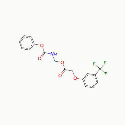 O=C(COc1cccc(C(F)(F)F)c1)OCNC(=O)Oc1ccccc1